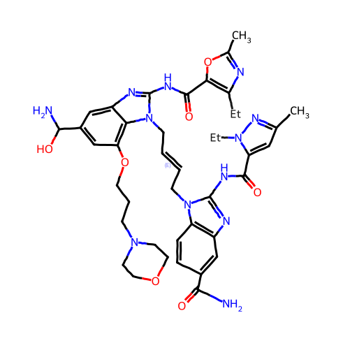 CCc1nc(C)oc1C(=O)Nc1nc2cc(C(N)O)cc(OCCCN3CCOCC3)c2n1C/C=C/Cn1c(NC(=O)c2cc(C)nn2CC)nc2cc(C(N)=O)ccc21